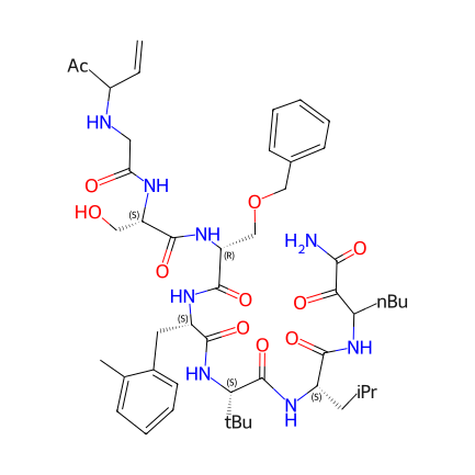 C=CC(NCC(=O)N[C@@H](CO)C(=O)N[C@H](COCc1ccccc1)C(=O)N[C@@H](Cc1ccccc1C)C(=O)N[C@H](C(=O)N[C@@H](CC(C)C)C(=O)NC(CCCC)C(=O)C(N)=O)C(C)(C)C)C(C)=O